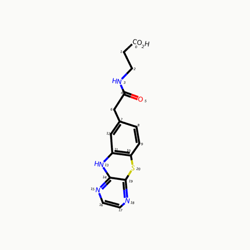 O=C(O)CCNC(=O)Cc1ccc2c(c1)Nc1nccnc1S2